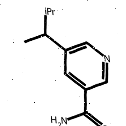 CC(C)C(C)c1cncc(C(N)=O)c1